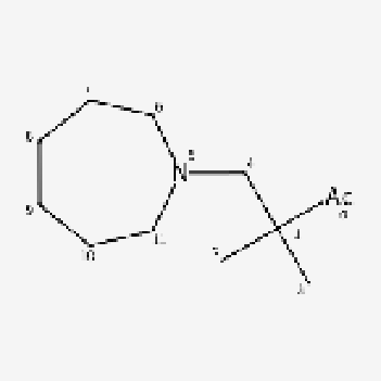 CC(=O)C(C)(C)CN1CCCCCC1